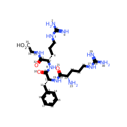 N=C(N)NCCC[C@H](NC(=O)[C@@H](Cc1ccccc1)NC(=O)[C@@H](N)CCCNC(=N)N)C(=O)NCC(=O)O